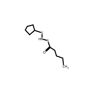 CCCCC(=O)SNSC1CCCC1